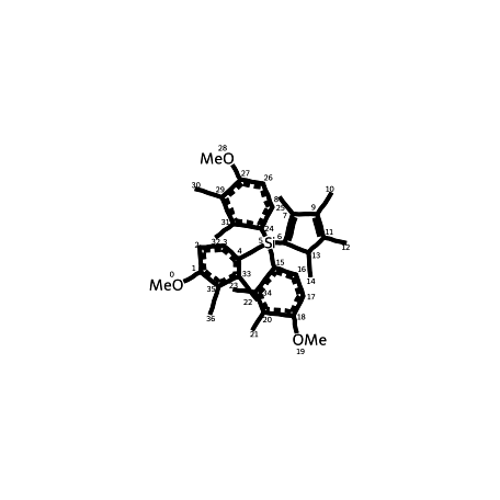 COc1ccc([Si](C2=C(C)C(C)=C(C)C2C)(c2ccc(OC)c(C)c2C)c2ccc(OC)c(C)c2C)c(C)c1C